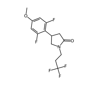 COc1cc(F)c(C2CC(=O)N(CCC(F)(F)F)C2)c(F)c1